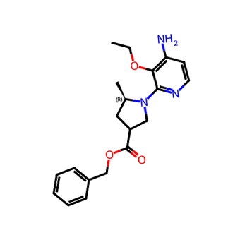 CCOc1c(N)ccnc1N1CC(C(=O)OCc2ccccc2)C[C@H]1C